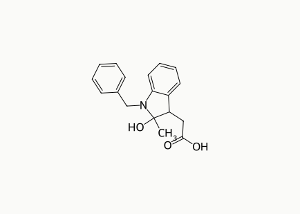 CC1(O)C(CC(=O)O)c2ccccc2N1Cc1ccccc1